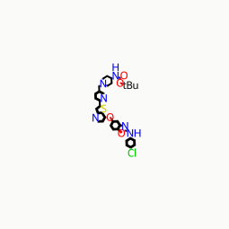 CC(C)(C)OC(=O)NC1CCN(Cc2ccc(-c3cc4nccc(Oc5ccc6oc(Nc7ccc(Cl)cc7)nc6c5)c4s3)nc2)CC1